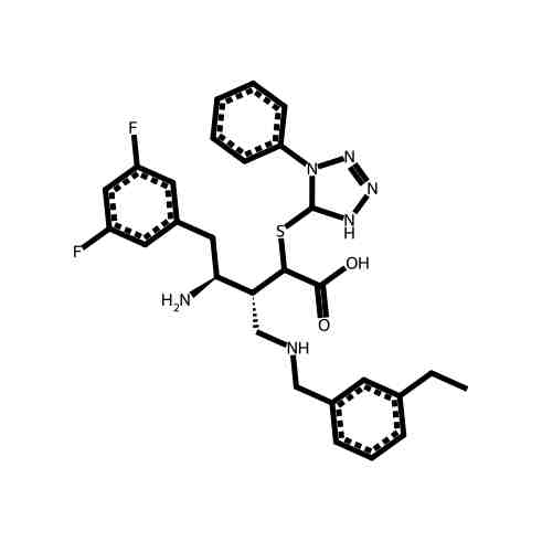 CCc1cccc(CNC[C@@H](C(SC2NN=NN2c2ccccc2)C(=O)O)[C@@H](N)Cc2cc(F)cc(F)c2)c1